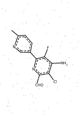 Cc1ccc(-c2nc(C=O)c(Cl)c(N)c2F)cn1